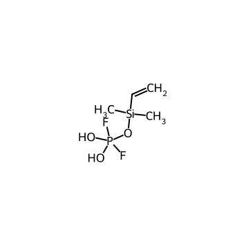 C=C[Si](C)(C)OP(O)(O)(F)F